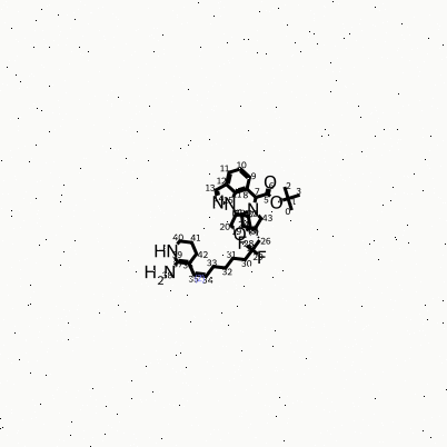 CC(C)(C)OC(=O)C(c1cccc2cnn([C@H]3CCOC3)c12)N1CC[C@@H](CC(F)(F)CCCC/C=C\C2=C(N)NCCC2)C1